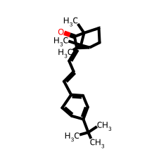 CC(C)(C)c1ccc(C=CC=C2C(=O)C3(C)CCC2C3(C)C)cc1